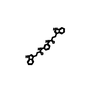 O=C(CCc1c[nH]c2ccccc12)Nc1cccc(NC(=O)CCc2c[nH]c3ccccc23)c1